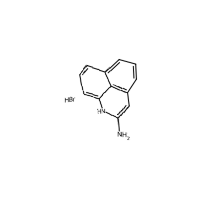 Br.NC1=Cc2cccc3cccc(c23)N1